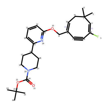 CC1(C)/C=C(/F)C#C/C(COc2cccc(C3CCN(C(=O)OC(C)(C)C)CC3)n2)=C\C1